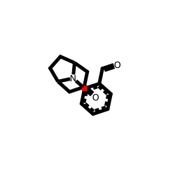 O=Cc1ccccc1N1C2CCC1CC(=O)C2